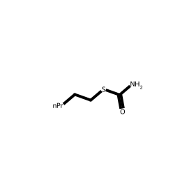 CCCCCSC(N)=O